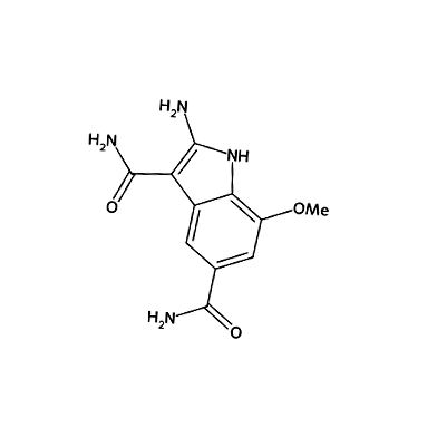 COc1cc(C(N)=O)cc2c(C(N)=O)c(N)[nH]c12